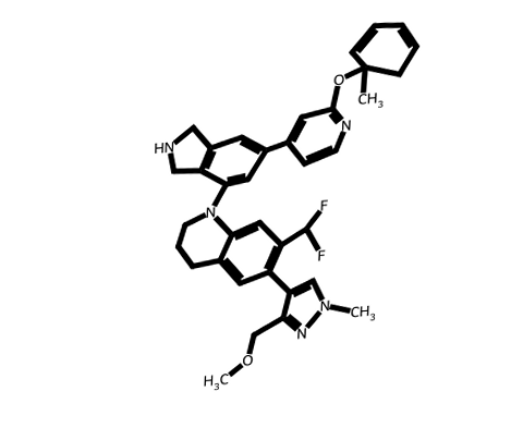 COCc1nn(C)cc1-c1cc2c(cc1C(F)F)N(c1cc(-c3ccnc(OC4(C)C=CC=CC4)c3)cc3c1CNC3)CCC2